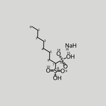 CCCCCCCC(S(=O)(=O)O)S(=O)(=O)O.[NaH]